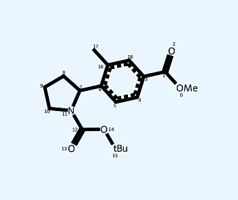 COC(=O)c1ccc(C2CCCN2C(=O)OC(C)(C)C)c(C)c1